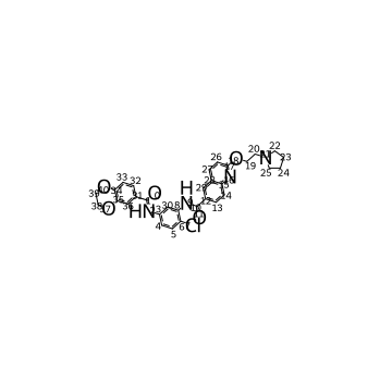 O=C(Nc1ccc(Cl)c(NC(=O)c2ccc3nc(OCCN4CCCC4)ccc3c2)c1)c1ccc2c(c1)OCCO2